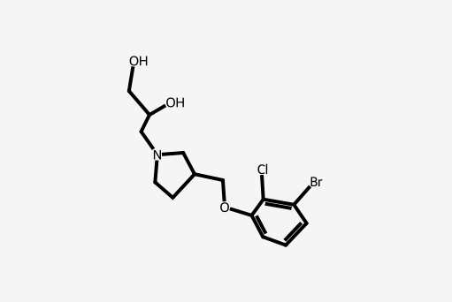 OCC(O)CN1CCC(COc2cccc(Br)c2Cl)C1